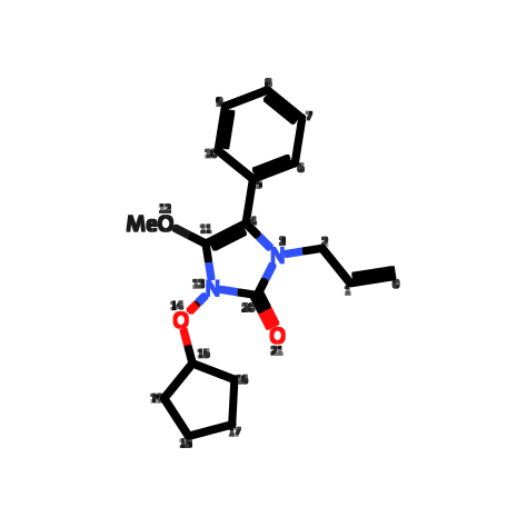 C=CCn1c(-c2ccccc2)c(OC)n(OC2CCCC2)c1=O